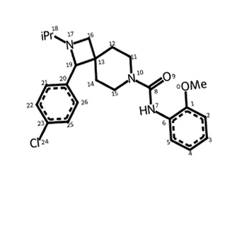 COc1ccccc1NC(=O)N1CCC2(CC1)CN(C(C)C)C2c1ccc(Cl)cc1